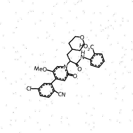 COc1cn(C(CC2CCOCC2)C(=O)Nc2ccccc2C(=O)O)c(=O)cc1-c1cc(Cl)ccc1C#N